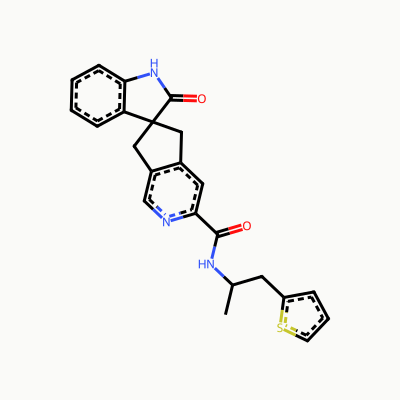 CC(Cc1cccs1)NC(=O)c1cc2c(cn1)CC1(C2)C(=O)Nc2ccccc21